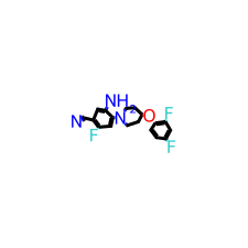 N#Cc1cc(N)c(N2CCC(Oc3ccc(F)cc3F)CC2)cc1F